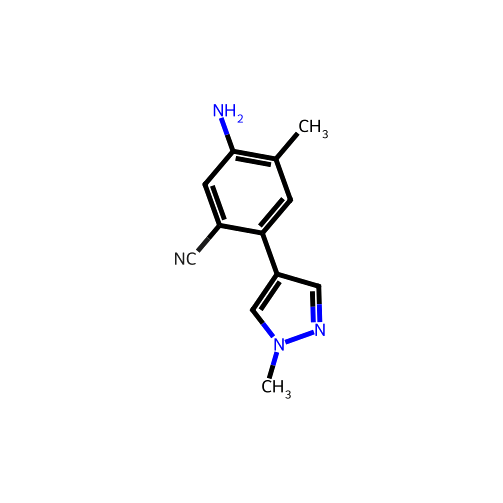 Cc1cc(-c2cnn(C)c2)c(C#N)cc1N